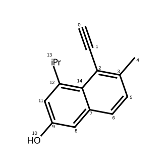 C#Cc1c(C)ccc2cc(O)cc(C(C)C)c12